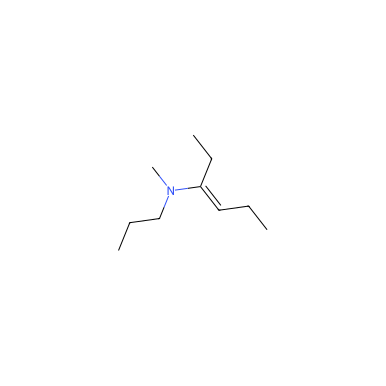 CC/C=C(\CC)N(C)CCC